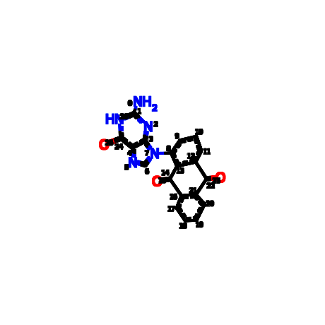 Nc1nc2c(ncn2-c2cccc3c2C(=O)c2ccccc2C3=O)c(=O)[nH]1